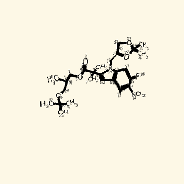 C[C@@H](COC(=O)C(C)(C)c1cc2cc([N+](=O)[O-])c(F)cc2n1C[C@H]1COC(C)(C)O1)COC(C)(C)O